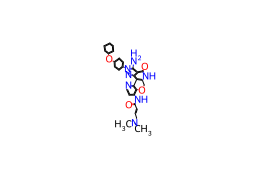 CN(C)C/C=C/C(=O)Nc1ccnc2c1OCc1[nH]c(=O)c3c(N)n(-c4ccc(Oc5ccccc5)cc4)nc3c1-2